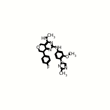 CNc1nc(Nc2ccc(-n3cnc(C)n3)c(OC)c2)nc2c1COCC2c1ccc(F)cc1